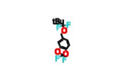 CC(C)(C)C(F)(F)OCc1ccc2c(c1)OC(F)(F)O2